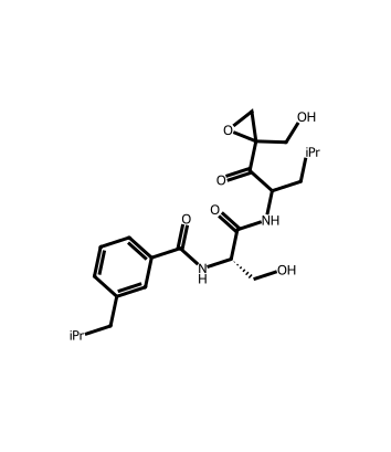 CC(C)Cc1cccc(C(=O)N[C@@H](CO)C(=O)NC(CC(C)C)C(=O)C2(CO)CO2)c1